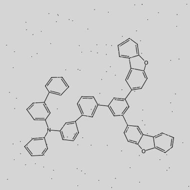 c1ccc(-c2cccc(N(c3ccccc3)c3cccc(-c4cccc(-c5cc(-c6ccc7oc8ccccc8c7c6)cc(-c6ccc7oc8ccccc8c7c6)c5)c4)c3)c2)cc1